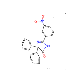 O=C1NC(c2cccc([N+](=O)[O-])c2)=NC1(c1ccccc1)c1ccccc1